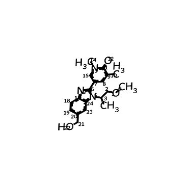 COCC(C)n1c(-c2cc(C)c(=O)n(C)c2)nc2ccc(CO)cc21